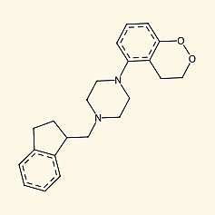 c1ccc2c(c1)CCC2CN1CCN(c2cccc3c2CCOO3)CC1